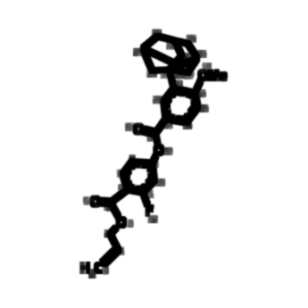 C=CCOC(=O)c1ccc(OC(=O)c2ccc(OC)c(C34CC5CC(CC(C5)C3)C4)c2)cc1F